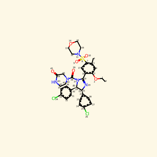 CCOc1cc(C)c(S(=O)(=O)N2CCOCC2)cc1C1=N[C@@H](c2ccc(Cl)cc2)[C@@H](c2ccc(Cl)cc2)N1C(=O)N1CCNC(=O)C1